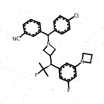 CC(C)(F)[C@H](c1cc(F)cc(N2CCC2)c1)C1CN(C(c2ccc(Cl)cc2)c2cccc(C#N)c2)C1